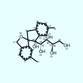 Cc1ccc2c(c1)C1(Cc3ccc(C)cc3[C@@]1(O)[C@@H](O)[C@H](O)[C@H](O)CO)OC2